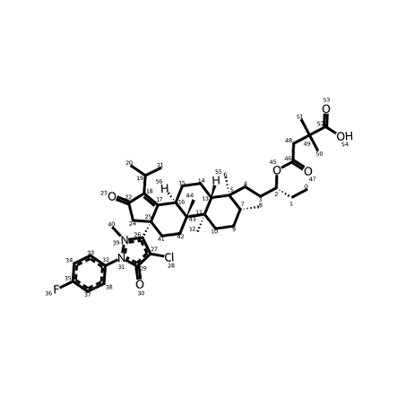 CC[C@H](CC[C@@]1(C)[C@H](C)CC[C@]2(C)[C@@H]1CC[C@@H]1C3=C(C(C)C)C(=O)C[C@]3(c3c(Cl)c(=O)n(-c4ccc(F)cc4)n3C)CC[C@]12C)OC(=O)CC(C)(C)C(=O)O